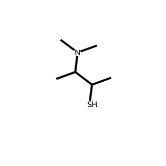 CC(S)C(C)N(C)C